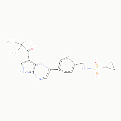 CC(C)(C)C(=O)c1c[nH]c2ncc(-c3ccc(CNS(=O)(=O)C4CC4)cc3)nc12